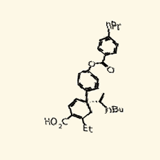 CCCCC(C)[C@@]1(c2ccc(OC(=O)c3ccc(CCC)cc3)cc2)C=CC(C(=O)O)=C(CC)C1